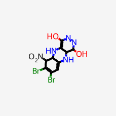 O=[N+]([O-])C1C(Br)=C(Br)C=C2NC3C(=C(O)N=NC3O)NC21